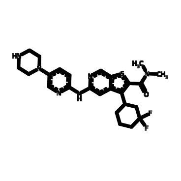 CN(C)C(=O)c1sc2cnc(Nc3ccc(N4CCNCC4)cn3)cc2c1C1CCCC(F)(F)C1